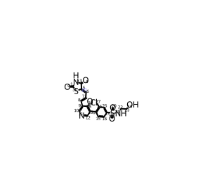 O=C1NC(=O)/C(=C/c2cc3cncc(-c4ccc(S(=O)(=O)NCCO)cc4Cl)c3o2)S1